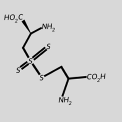 NC(CSS(=S)(=S)C[C@H](N)C(=O)O)C(=O)O